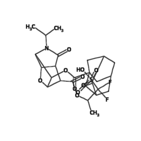 CC(C)N1C(=O)C2C3OC(C(OC(=O)C45CC6CC(C4)C(=O)C(C6)C5)C31)C2C(=O)OC(C)C(F)(F)S(=O)(=O)O